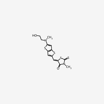 CN1C(=O)/C(=C/c2cc3sc(N(C)CCO)cc3s2)SC1=S